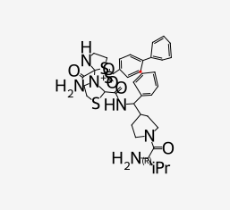 CC(C)[C@@H](N)C(=O)N1CCC(C(NC(=O)C2SCC[N+]2(C2(C(N)=O)NCCS2)S(=O)(=O)c2ccc(-c3ccccc3)cc2)c2ccccc2)CC1